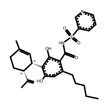 C=C(C)[C@@H]1CCC(C)=C[C@@H]1c1c(O)cc(CCCCC)c(C(=O)NS(=O)(=O)c2cccnc2)c1O